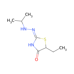 CCC1S/C(=N/NC(C)C)NC1=O